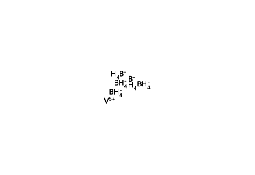 [BH4-].[BH4-].[BH4-].[BH4-].[BH4-].[V+5]